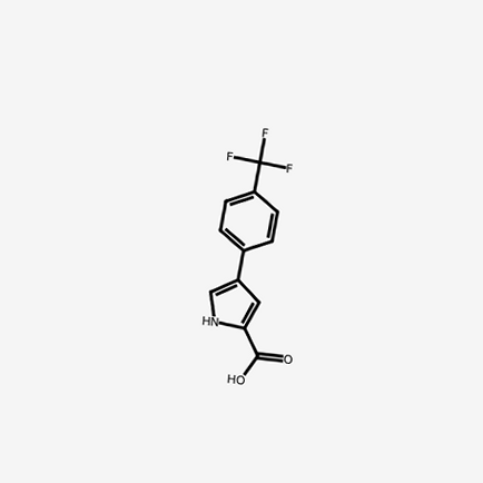 O=C(O)c1cc(-c2ccc(C(F)(F)F)cc2)c[nH]1